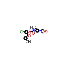 Cc1cc(N2CC[S+]([O-])CC2)ccc1NC(=O)COc1ccc(Cl)cc1C(=O)c1cccc(C#N)c1